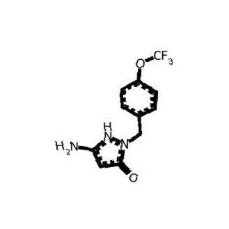 Nc1cc(=O)n(Cc2ccc(OC(F)(F)F)cc2)[nH]1